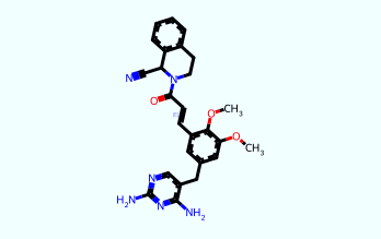 COc1cc(Cc2cnc(N)nc2N)cc(/C=C/C(=O)N2CCc3ccccc3C2C#N)c1OC